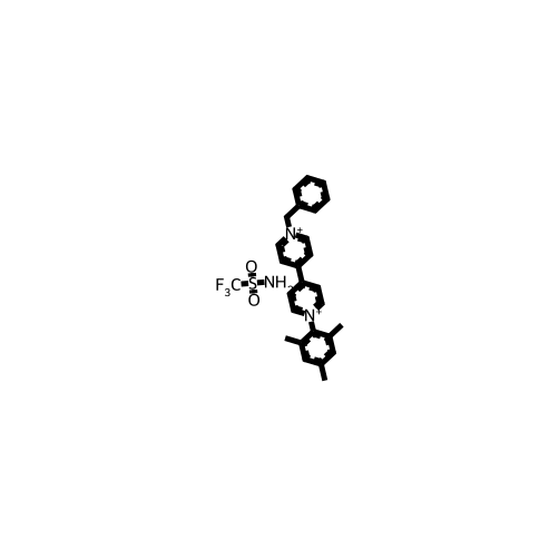 Cc1cc(C)c(-[n+]2ccc(-c3cc[n+](Cc4ccccc4)cc3)cc2)c(C)c1.NS(=O)(=O)C(F)(F)F